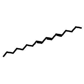 [CH2]CCCCCCC=CC=CC=CCCCC